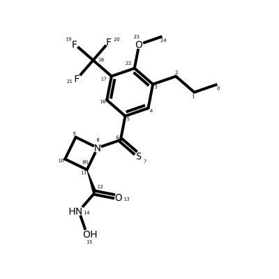 CCCc1cc(C(=S)N2CC[C@@H]2C(=O)NO)cc(C(F)(F)F)c1OC